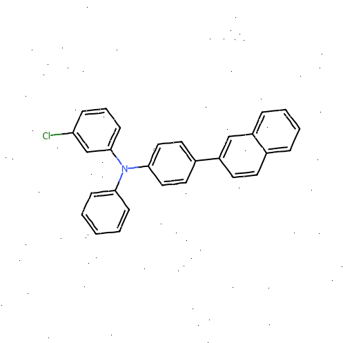 Clc1cccc(N(c2ccccc2)c2ccc(-c3ccc4ccccc4c3)cc2)c1